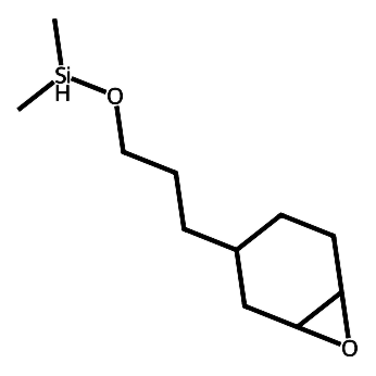 C[SiH](C)OCCCC1CCC2OC2C1